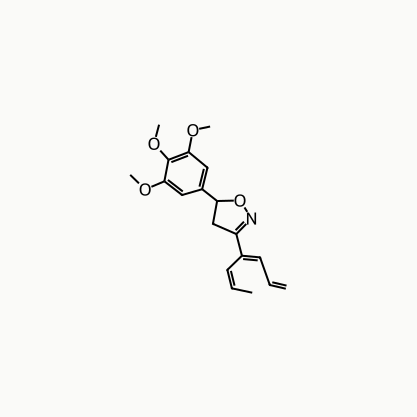 C=C/C=C(\C=C/C)C1=NOC(c2cc(OC)c(OC)c(OC)c2)C1